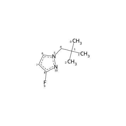 CC(C)(C)Cn1ccc(F)n1